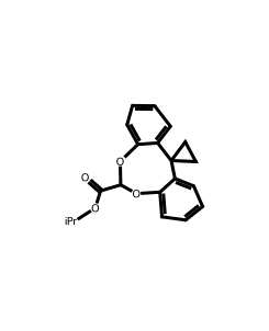 CC(C)OC(=O)C1Oc2ccccc2C2(CC2)c2ccccc2O1